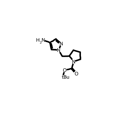 CC(C)(C)OC(=O)N1CCCC1Cn1cc(N)cn1